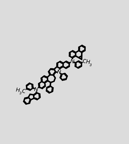 Cc1cccc(N(c2ccc3c4c(ccc3c2)-c2ccc3c5ccc6cc(N(c7cccc(C)c7)c7cccc8c7C7CC7c7ccccc7-8)ccc6c5n(-c5ccccc5)c3c2CCC4c2ccccc2)c2cccc3c2Cc2ccccc2-3)c1